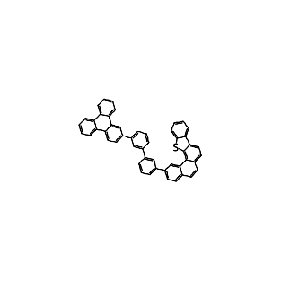 c1cc(-c2cccc(-c3ccc4ccc5ccc6c7ccccc7sc6c5c4c3)c2)cc(-c2ccc3c4ccccc4c4ccccc4c3c2)c1